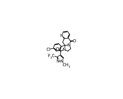 Cn1cc(C(=O)N2CCN3C(=O)c4cccnc4CC32c2ccc(Cl)cc2)c(C(F)(F)F)n1